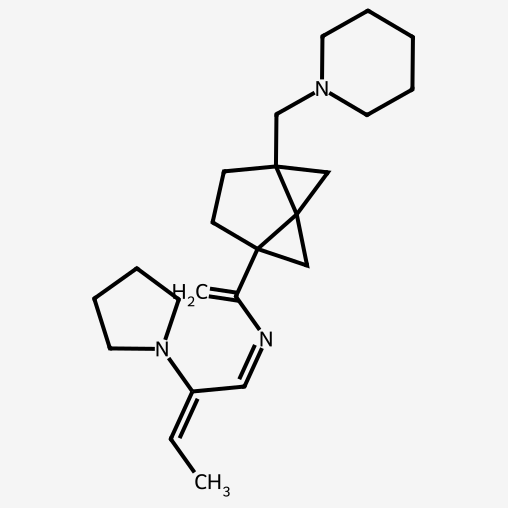 C=C(/N=C\C(=C/C)N1CCCC1)C12CCC3(CN4CCCCC4)CC31C2